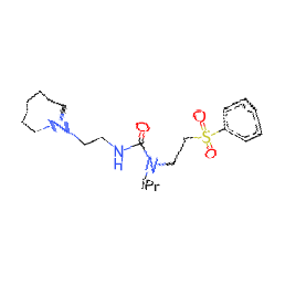 CC(C)N(CCS(=O)(=O)c1ccccc1)C(=O)NCCN1CCCCC1